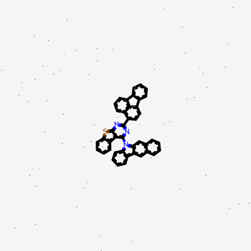 c1ccc2c(c1)-c1cccc3c(-c4nc(-n5c6ccccc6c6cc7ccccc7cc65)c5c(n4)sc4ccccc45)ccc-2c13